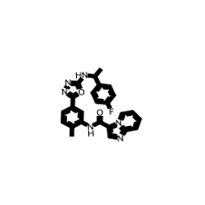 Cc1ccc(-c2nnc(NC(C)c3ccc(F)cc3)o2)cc1NC(=O)c1cnc2ccccn12